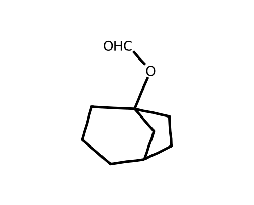 O=COC12CCCC(CC1)C2